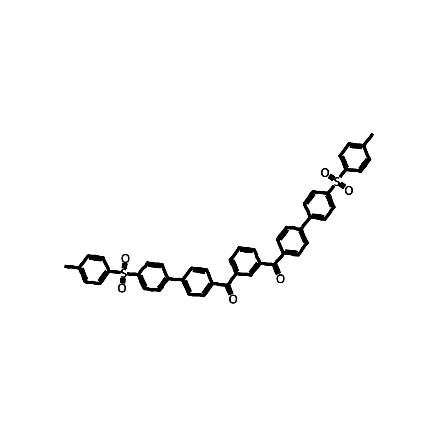 Cc1ccc(S(=O)(=O)c2ccc(-c3ccc(C(=O)c4cccc(C(=O)c5ccc(-c6ccc(S(=O)(=O)c7ccc(C)cc7)cc6)cc5)c4)cc3)cc2)cc1